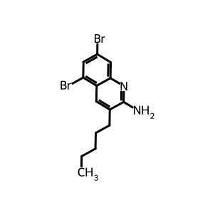 CCCCCc1cc2c(Br)cc(Br)cc2nc1N